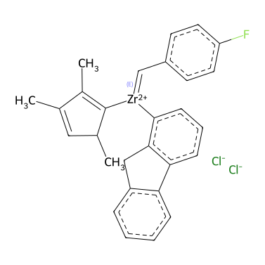 CC1=CC(C)[C](/[Zr+2](=[CH]/c2ccc(F)cc2)[c]2cccc3c2Cc2ccccc2-3)=C1C.[Cl-].[Cl-]